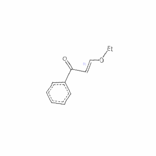 CCO/C=C/C(=O)c1ccccc1